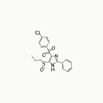 CCC[S+]([O-])c1[nH]c(-c2ccccc2)nc1S(=O)(=O)c1ccc(Cl)cc1